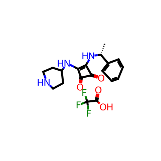 C[C@@H](Nc1c(NC2CCNCC2)c(=O)c1=O)c1ccccc1.O=C(O)C(F)(F)F